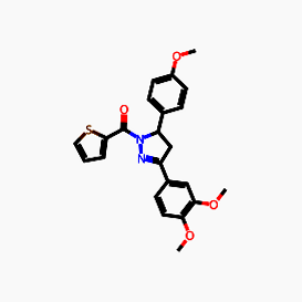 COc1ccc(C2CC(c3ccc(OC)c(OC)c3)=NN2C(=O)c2cccs2)cc1